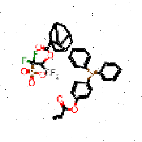 C=CC(=O)Oc1ccc([S+](c2ccccc2)c2ccccc2)cc1.O=C(OC(C(F)(F)F)C(F)(F)S(=O)(=O)[O-])C12CC3CC(CC(C3)C1)C2